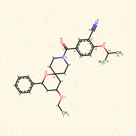 CCOC1CC(c2ccccc2)OC2(CCN(C(=O)c3ccc(OC(C)C)c(C#N)c3)CC2)C1